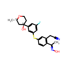 C/C(=N\O)c1ccc(Sc2cc(F)cc([C@@]3(O)CCO[C@@H](C)C3)c2)cc1CC#N